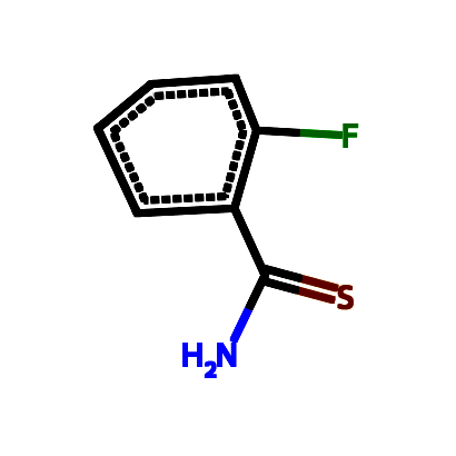 NC(=S)c1ccccc1F